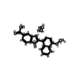 COc1ccc(-c2nc3cc(C(=O)O)ccc3[nH]2)c2cccnc12.Cl.Cl